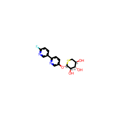 O[C@@H]1[C@@H](O)[C@H](Oc2ccc(-c3ccc(F)nc3)nc2)SC[C@H]1O